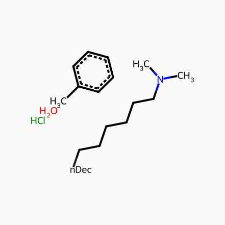 CCCCCCCCCCCCCCCCN(C)C.Cc1ccccc1.Cl.O